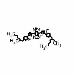 CCCCCC(CC)Cc1ccc(-c2ccc(-c3c4nccnc4c(-c4ccc(-c5ccc(CC(CC)CCCCC)cc5F)s4)c4nsnc34)s2)c(F)c1